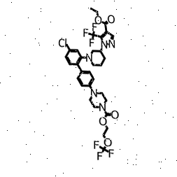 CCOC(=O)c1cnn(C2CCCN(c3cc(Cl)ccc3-c3ccc(N4CCN(C(=O)OCCOC(F)(F)F)CC4)cc3)C2)c1C(F)(F)F